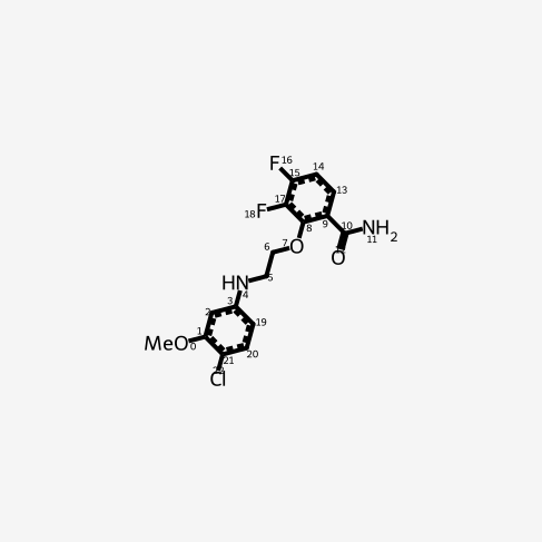 COc1cc(NCCOc2c(C(N)=O)ccc(F)c2F)ccc1Cl